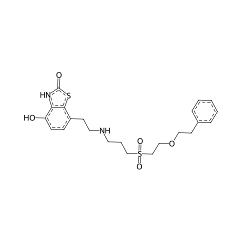 O=c1[nH]c2c(O)ccc(CCNCCCS(=O)(=O)CCOCCc3ccccc3)c2s1